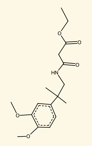 CCOC(=O)CC(=O)NCC(C)(C)c1ccc(OC)c(OC)c1